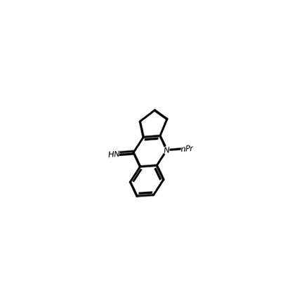 CCCn1c2c(c(=N)c3ccccc31)CCC2